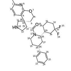 Cc1ccc2c(n1)OCC[C@]21CNC[C@H]1C(=O)N1CC[C@@H](c2ccccc2)C[C@H]1C1CCCC(F)(F)C1